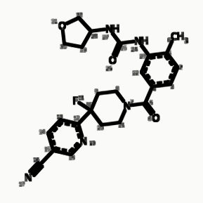 Cc1ccc(C(=O)N2CCC(F)(c3ccc(C#N)cn3)CC2)cc1NC(=O)NC1CCOC1